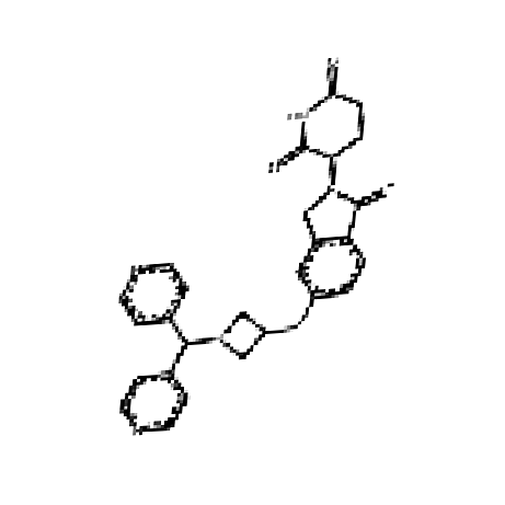 O=C1CCC(N2Cc3cc(SC4CN(C(c5ccncc5)c5ccncc5)C4)ccc3C2=O)C(=O)N1